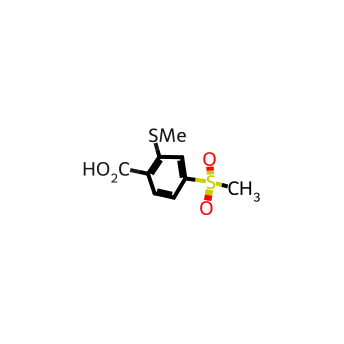 CSc1cc(S(C)(=O)=O)ccc1C(=O)O